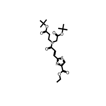 CCOC(=O)c1csc(C=CC(=O)N(CCC(=O)OC(C)(C)C)CC(=O)OC(C)(C)C)n1